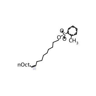 CCCCCCCC/C=C\CCCCCCCCOS(=O)(=O)c1ccccc1C